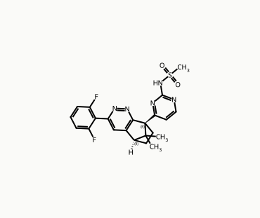 CC1(C)[C@H]2CC[C@@]1(c1ccnc(NS(C)(=O)=O)n1)c1nnc(-c3c(F)cccc3F)cc12